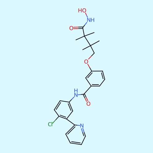 CC(C)(COc1cccc(C(=O)Nc2ccc(Cl)c(-c3ccccn3)c2)c1)C(C)(C)C(=O)NO